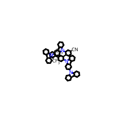 N#Cc1ccc(-c2cc(-c3c(C(F)(F)F)cccc3C(F)(F)F)ccc2-n2c3ccccc3c3cc(-n4c5ccccc5c5ccccc54)ccc32)c(-n2c3ccccc3c3cc(-n4c5ccccc5c5ccccc54)ccc32)c1